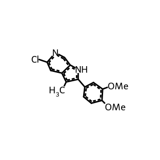 COc1ccc(-c2[nH]c3cnc(Cl)cc3c2C)cc1OC